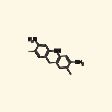 Cc1cc2c(cc1N)Nc1cc(N)c(C)cc1C2